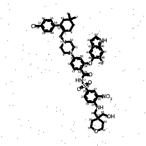 CC1(C)CCC(CN2CCN(c3ccc(C(=O)NS(=O)(=O)c4ccc(NCC5(CO)CCOCC5)c([N+](=O)[O-])c4)c(Oc4cc5cc[nH]c5cc4F)c3)CC2)=C(c2ccc(Cl)cc2)C1